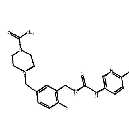 Cc1ccc(NC(=O)NCc2cc(CN3CCN(C(=O)C(C)(C)C)CC3)ccc2F)cn1